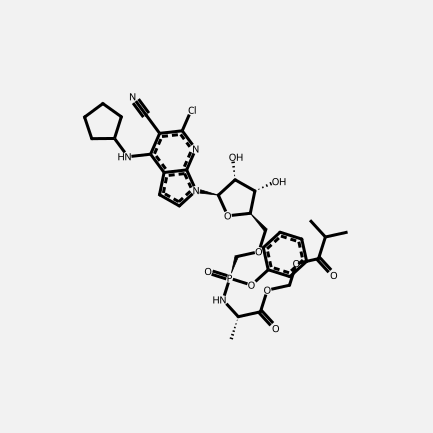 CC(C)C(=O)OCOC(=O)[C@H](C)N[P@@](=O)(COC[C@H]1O[C@@H](n2ccc3c(NC4CCCC4)c(C#N)c(Cl)nc32)[C@H](O)[C@@H]1O)Oc1ccccc1